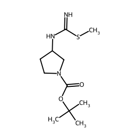 CSC(=N)NC1CCN(C(=O)OC(C)(C)C)C1